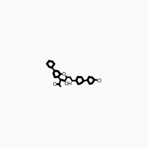 CC(=O)C1=C(O)C(CCc2ccc(-c3ccc(Cl)cc3)cc2)Oc2cc(-c3ccccc3)ccc21